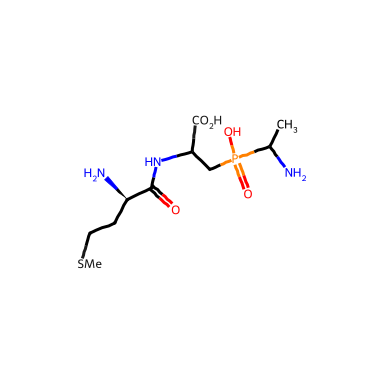 CSCC[C@@H](N)C(=O)NC(CP(=O)(O)C(C)N)C(=O)O